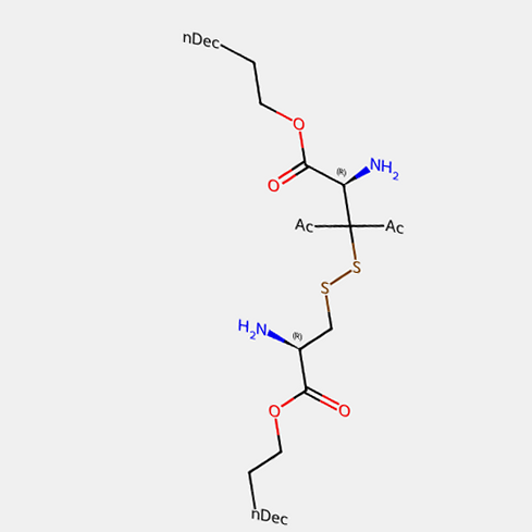 CCCCCCCCCCCCOC(=O)[C@@H](N)C(SSC[C@H](N)C(=O)OCCCCCCCCCCCC)(C(C)=O)C(C)=O